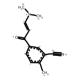 Cc1ccc(C(=O)/C=C/N(C)C)cc1C#N